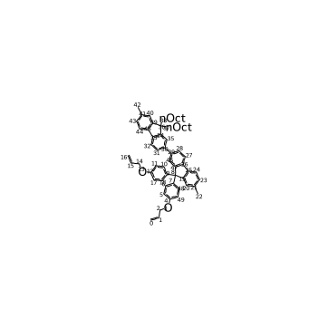 C=CCOc1ccc(C2(c3ccc(OCC=C)cc3)c3cc(C)ccc3-c3ccc(-c4ccc5c(c4)C(CCCCCCCC)(CCCCCCCC)c4cc(C)ccc4-5)cc32)cc1